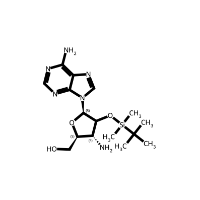 CC(C)(C)[Si](C)(C)OC1[C@H](n2cnc3c(N)ncnc32)O[C@H](CO)[C@H]1N